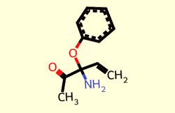 C=CC(N)(Oc1ccccc1)C(C)=O